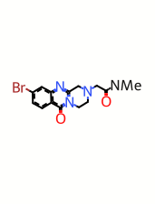 CNC(=O)CN1CCn2c(nc3cc(Br)ccc3c2=O)C1